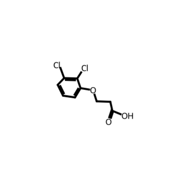 O=C(O)CCOc1cccc(Cl)c1Cl